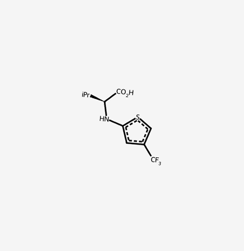 CC(C)[C@H](Nc1cc(C(F)(F)F)cs1)C(=O)O